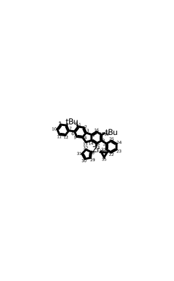 CC(C)(C)c1cc2c(cc1-c1ccccc1)Cc1c-2cc(C(C)(C)C)c(-c2ccccc2)[c]1[Zr]([C]1=CC=CC1)=[C]1CC1